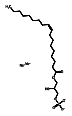 CCCCCCCC/C=C\CCCCCCCC(=O)OCC(O)COP(=O)([O-])[O-].[Na+].[Na+]